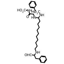 O=CC(Cc1ccccc1)NCCCCCCCCCCC(NC(=O)O)N[C@@H](Cc1ccccc1)C(=O)NC(=O)O